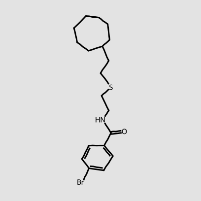 O=C(NCCSCCC1CCCCCCC1)c1ccc(Br)cc1